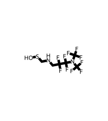 OSCNCC(F)(F)C(F)(F)N(C(F)(F)F)C(F)(F)F